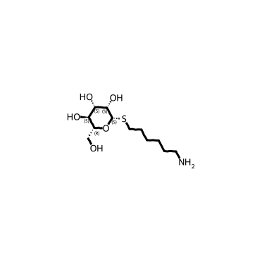 NCCCCCCS[C@@H]1O[C@H](CO)[C@@H](O)[C@H](O)[C@@H]1O